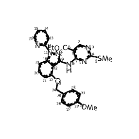 CCOC(=O)c1cnc(SC)nc1Nc1nn(-c2ccccn2)c2cccc(OCc3ccc(OC)cc3)c12